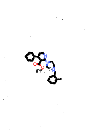 Cc1ccccc1CN1CCN(c2nccc(-c3ccccc3)c2C(=O)OC(C)C)CC1